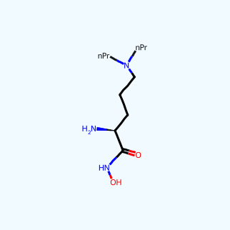 CCCN(CCC)CCC[C@H](N)C(=O)NO